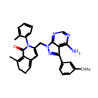 COc1cccc(-c2nn(Cc3cc4c(c(=O)n3-c3ccccc3C)=C(C)CCC=4)c3ncnc(N)c23)c1